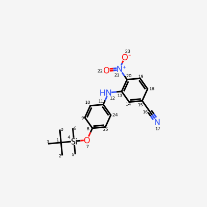 CC(C)(C)[Si](C)(C)Oc1ccc(Nc2cc(C#N)ccc2[N+](=O)[O-])cc1